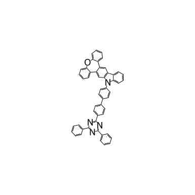 c1ccc(-c2nc(-c3ccccc3)nc(-c3ccc(-c4ccc(-n5c6ccccc6c6cc7c(cc65)-c5ccccc5Oc5ccccc5-7)cc4)cc3)n2)cc1